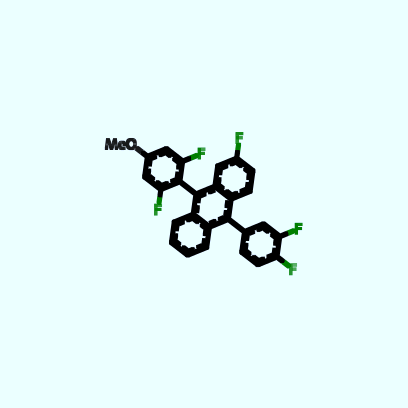 COc1cc(F)c(-c2c3ccccc3c(-c3ccc(F)c(F)c3)c3ccc(F)cc23)c(F)c1